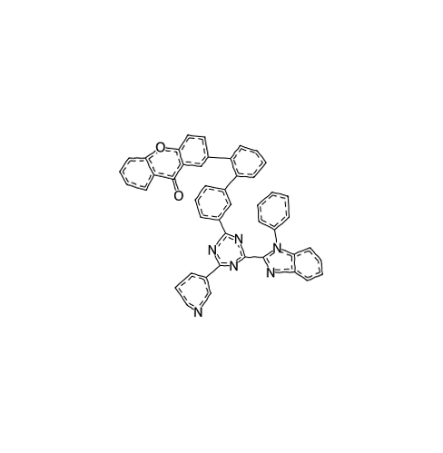 O=c1c2ccccc2oc2ccc(-c3ccccc3-c3cccc(-c4nc(-c5cccnc5)nc(-c5nc6ccccc6n5-c5ccccc5)n4)c3)cc12